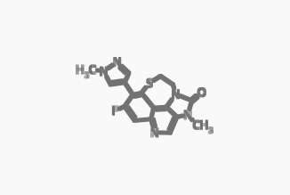 Cn1cc(-c2c(F)cc3ncc4c5c3c2SCCn5c(=O)n4C)cn1